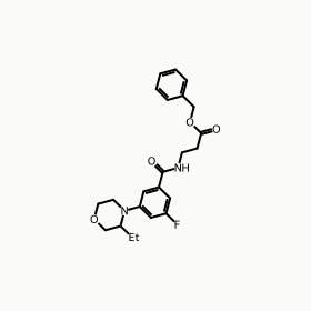 CCC1COCCN1c1cc(F)cc(C(=O)NCCC(=O)OCc2ccccc2)c1